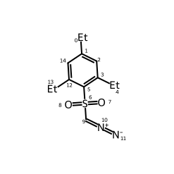 CCc1cc(CC)c(S(=O)(=O)C=[N+]=[N-])c(CC)c1